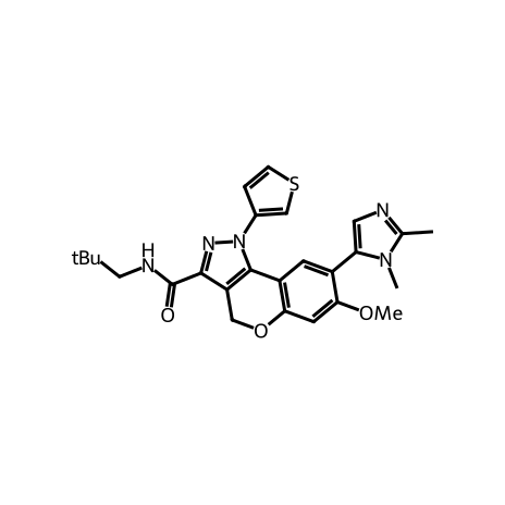 COc1cc2c(cc1-c1cnc(C)n1C)-c1c(c(C(=O)NCC(C)(C)C)nn1-c1ccsc1)CO2